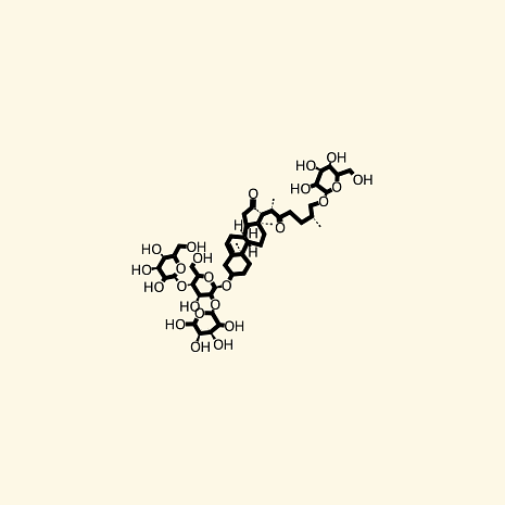 C[C@H](CCC(=O)[C@@H](C)[C@H]1C(=O)C[C@H]2[C@@H]3CC=C4CC(O[C@@H]5OC(CO)[C@@H](O[C@@H]6OC(CO)[C@@H](O)[C@H](O)C6O)[C@H](O)C5O[C@@H]5OC(O)[C@H](O)[C@H](O)C5O)CC[C@]4(C)[C@H]3CC[C@]12C)CO[C@@H]1OC(CO)[C@@H](O)[C@H](O)C1O